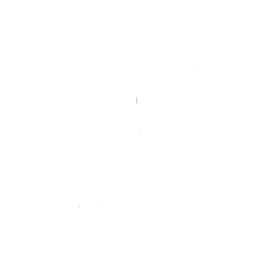 O=C1CCc2cc(OCc3ccc(F)cc3F)ccc21